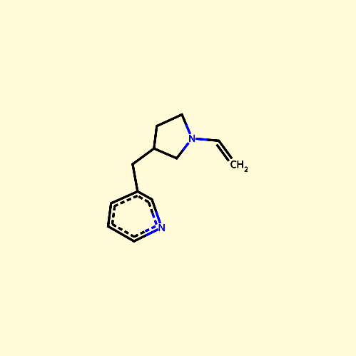 C=CN1CCC(Cc2cccnc2)C1